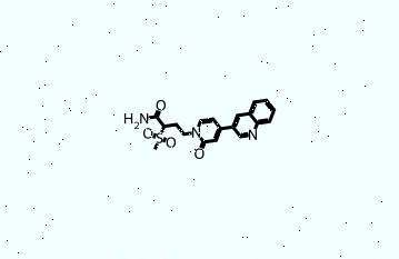 CS(=O)(=O)C(CCn1ccc(-c2cnc3ccccc3c2)cc1=O)C(N)=O